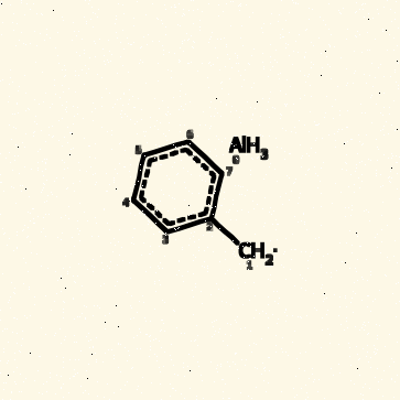 [AlH3].[CH2]c1ccccc1